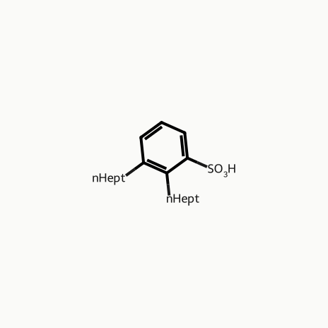 CCCCCCCc1cccc(S(=O)(=O)O)c1CCCCCCC